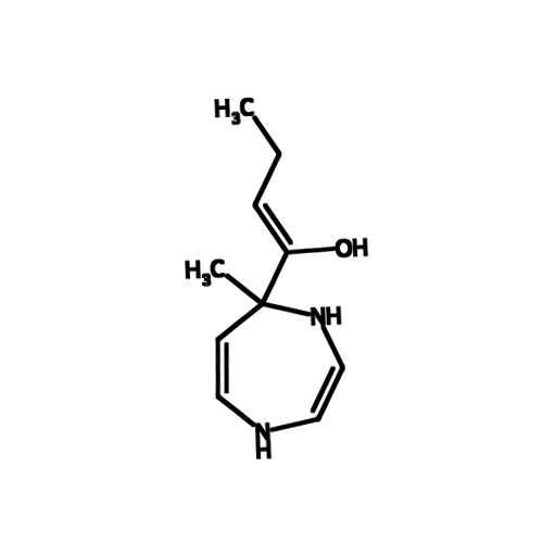 CCC=C(O)C1(C)C=CNC=CN1